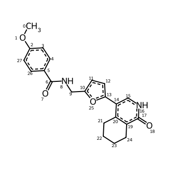 COc1ccc(C(=O)NCc2ccc(-c3c[nH]c(=O)c4c3CCCC4)o2)cc1